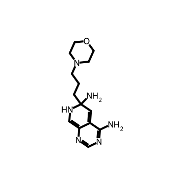 Nc1ncnc2c1=CC(N)(CCCN1CCOCC1)NC=2